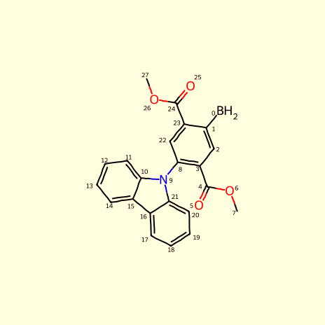 Bc1cc(C(=O)OC)c(-n2c3ccccc3c3ccccc32)cc1C(=O)OC